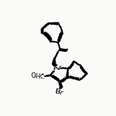 C=C(Cn1c(C=O)c(Br)c2ccccc21)c1ccccc1